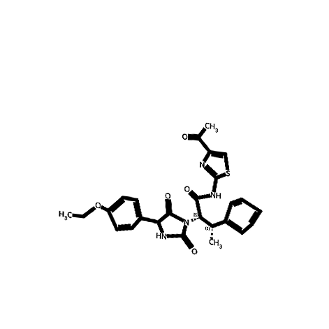 CCOc1ccc(C2NC(=O)N([C@H](C(=O)Nc3nc(C(C)=O)cs3)[C@@H](C)c3ccccc3)C2=O)cc1